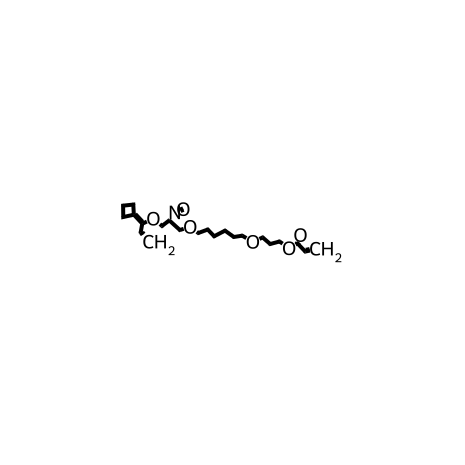 C=CC(=O)OCCCOCCCCCCOCC(COC(C=C)=C1CCC1)N=O